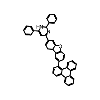 C1=C(C2=NC(c3ccccc3)NC(c3ccccc3)=C2)C=C2Oc3ccc(-c4cccc5c6ccccc6c6ccccc6c45)cc3C2C1